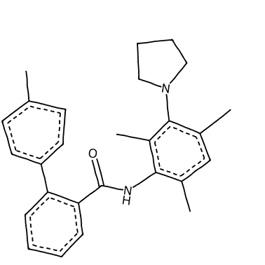 Cc1ccc(-c2ccccc2C(=O)Nc2c(C)cc(C)c(N3CCCC3)c2C)cc1